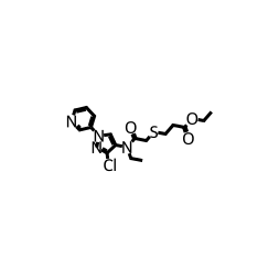 CCOC(=O)CCSCC(=O)N(CC)c1cn(-c2cccnc2)nc1Cl